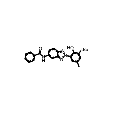 Cc1cc(-n2nc3ccc(NC(=O)c4ccccc4)cc3n2)c(O)c(C(C)(C)C)c1